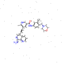 Cc1ncc(C(=O)Nc2ccc(CN3CCOCC3)c(C(F)(F)F)c2)cc1C#Cc1cnc(N)c2ncccc12